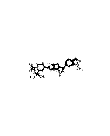 Cn1ncc2ccc(-c3n[nH]c4c3Cc3sc(C5CCN(C(=O)O)C(C(C)(C)C)C5)cc3-4)cc21